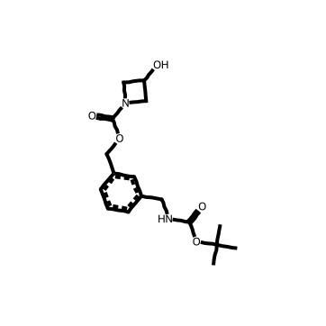 CC(C)(C)OC(=O)NCc1cccc(COC(=O)N2CC(O)C2)c1